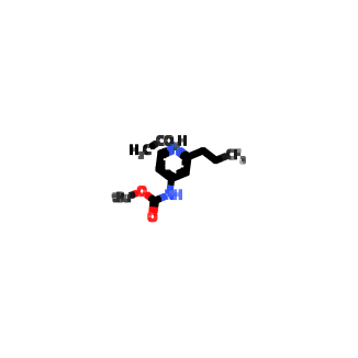 CC(=O)O.CC(C)(C)OC(=O)Nc1ccnc(CCC(F)(F)F)c1